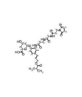 CC(C)C(=O)OC/C=C/c1ccc(OC2CC(O)CC(C(=O)O)O2)c(NC(=O)CCNC(=O)CNC(=O)CCN2C(=O)C=CC2=O)c1